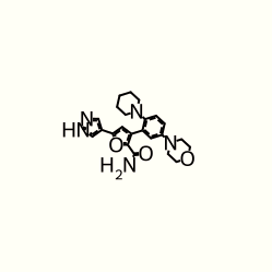 NC(=O)c1oc(-c2cn[nH]c2)cc1-c1cc(N2CCOCC2)ccc1N1CCCCC1